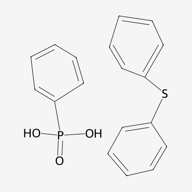 O=P(O)(O)c1ccccc1.c1ccc(Sc2ccccc2)cc1